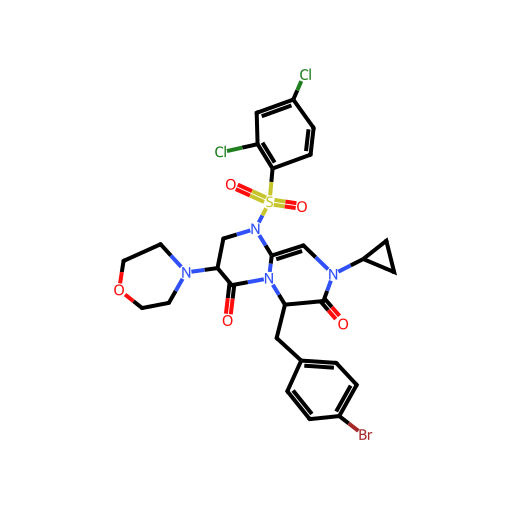 O=C1C(Cc2ccc(Br)cc2)N2C(=O)C(N3CCOCC3)CN(S(=O)(=O)c3ccc(Cl)cc3Cl)C2=CN1C1CC1